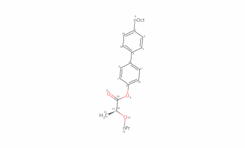 CCCCCCCCc1ccc(-c2ccc(OC(=O)[C@H](C)OCCC)cc2)cc1